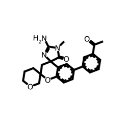 CC(=O)c1cccc(-c2ccc3c(c2)C2(CC4(CCCOC4)O3)N=C(N)N(C)C2=O)c1